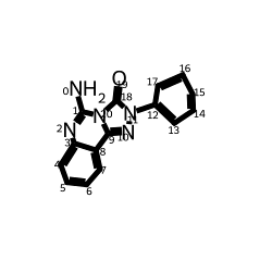 Nc1nc2ccccc2c2nn(-c3ccccc3)c(=O)n12